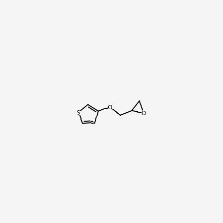 c1cc(OCC2CO2)cs1